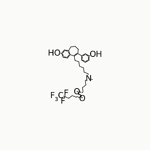 CN(CCCCCCC1=C(c2cccc(O)c2)CCCc2cc(O)ccc21)CCCCS(=O)(=O)CCCC(F)(F)C(F)(F)F